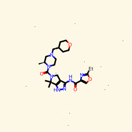 CCc1nc(C(=O)Nc2n[nH]c3c2CN(C(=O)N2CCN(CC4CCOCC4)C[C@@H]2C)C3(C)C)co1